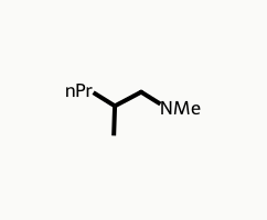 CCCC(C)CNC